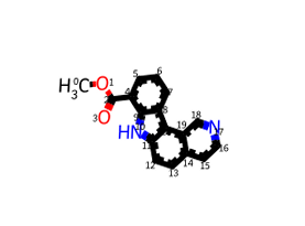 COC(=O)c1cccc2c1[nH]c1ccc3ccncc3c12